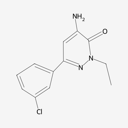 CCn1nc(-c2cccc(Cl)c2)cc(N)c1=O